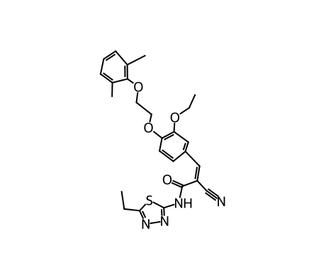 CCOc1cc(C=C(C#N)C(=O)Nc2nnc(CC)s2)ccc1OCCOc1c(C)cccc1C